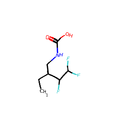 CCC(CNC(=O)O)C(F)C(F)F